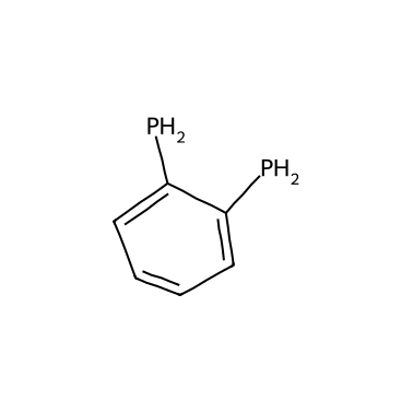 Pc1ccccc1P